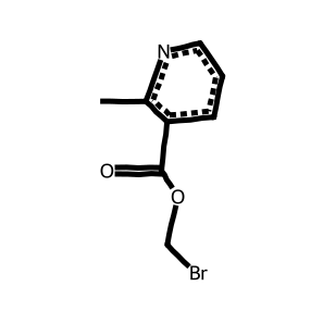 Cc1ncccc1C(=O)OCBr